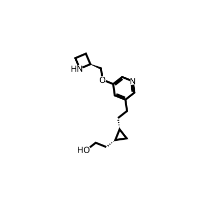 OCC[C@H]1C[C@H]1CCc1cncc(OC[C@@H]2CCN2)c1